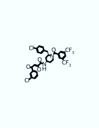 O=C(N[C@H]1CCN(C(=O)c2cc(C(F)(F)F)cc(C(F)(F)F)c2)[C@H](Cc2ccc(Cl)cc2)C1)c1cc(=O)c2cc(Cl)ccc2o1